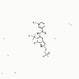 CC(C)(O)c1c(NC(=O)c2cccc(C(F)(F)F)n2)cn2cc(CCS(C)(=O)=O)nc2c1F